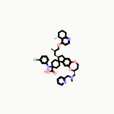 C[C@@H](COc1ccnc2c1[C@H](C)CCC2)C[C@H]1Cc2cc3c(cc2C12CCC(Nc1cccc(Cl)c1)(C(=O)O)CC2)O[C@H](CN(C)Cc1ccccn1)CCO3